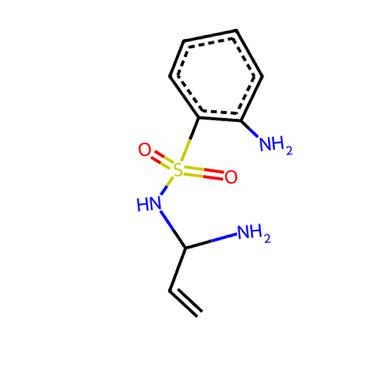 C=CC(N)NS(=O)(=O)c1ccccc1N